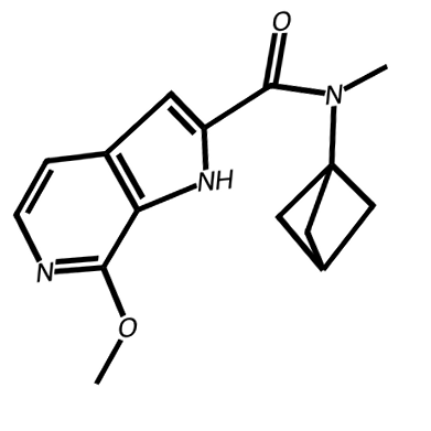 COc1nccc2cc(C(=O)N(C)C34CC(C3)C4)[nH]c12